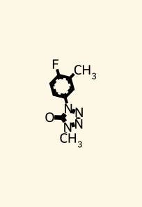 Cc1cc(-n2nnn(C)c2=O)ccc1F